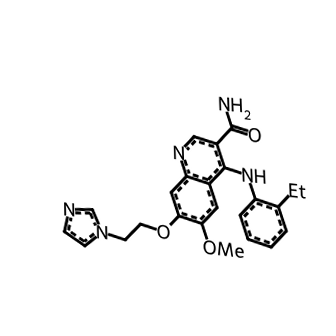 CCc1ccccc1Nc1c(C(N)=O)cnc2cc(OCCn3ccnc3)c(OC)cc12